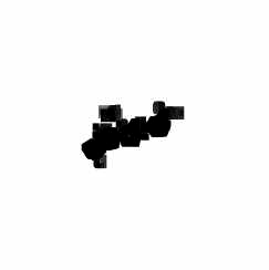 Cl.Cl.NC[C@]1(c2cccc(Cl)c2)CC[C@H](N2CCc3nc(-c4cccc(C(=O)O)c4)ncc3C2=O)CC1